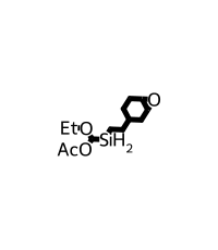 CCOC(OC(C)=O)[SiH2]CCC1CCC2OC2C1